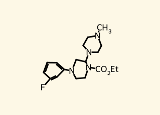 CCOC(=O)N1CCN(c2cccc(F)c2)CC1N1CCN(C)CC1